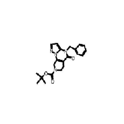 CC(C)(C)OC(=O)N1CCc2c(n3nccc3n(Cc3ccccc3)c2=O)C1